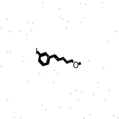 COCCC/C=C/c1cccc(I)c1